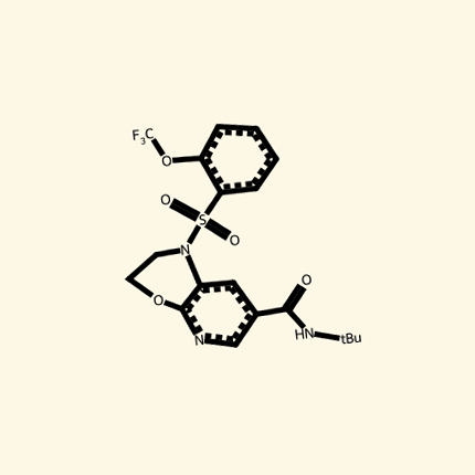 CC(C)(C)NC(=O)c1cnc2c(c1)N(S(=O)(=O)c1ccccc1OC(F)(F)F)CCO2